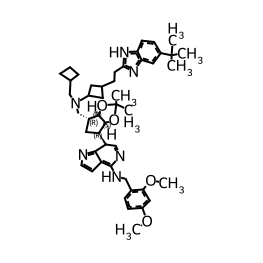 COc1ccc(CNC2=C3C=CN=C3C([C@H]3C[C@H](CN(CC4CCC4)C4CC(CCc5nc6cc(C(C)(C)C)ccc6[nH]5)C4)[C@H]4OC(C)(C)O[C@H]43)C=N2)c(OC)c1